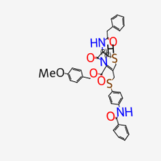 COc1ccc(COC(=O)C2=C(CSc3ccc(NC(=O)c4ccccc4)cc3)CS[C@@H]3[C@H](NC(=O)Cc4ccccc4)C(=O)N23)cc1